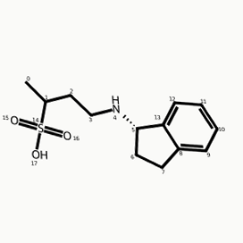 CC(CCN[C@H]1CCc2ccccc21)S(=O)(=O)O